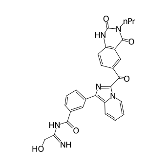 CCCn1c(=O)[nH]c2ccc(C(=O)c3nc(-c4cccc(C(=O)NC(=N)CO)c4)c4ccccn34)cc2c1=O